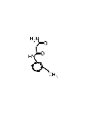 CCc1cccc(NC(=O)CC(N)=O)c1